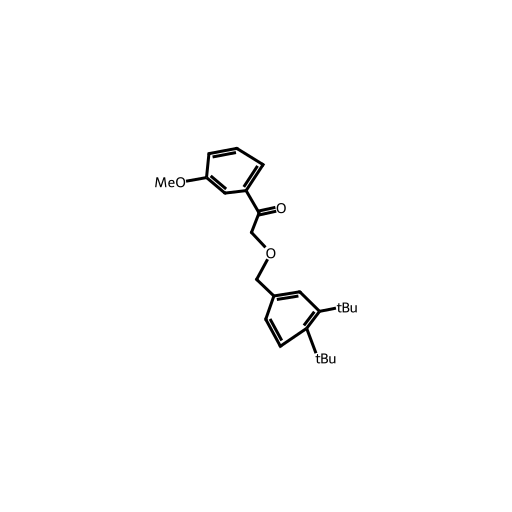 COc1cccc(C(=O)COCc2ccc(C(C)(C)C)c(C(C)(C)C)c2)c1